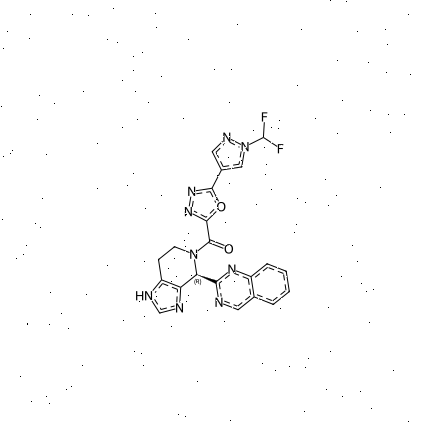 O=C(c1nnc(-c2cnn(C(F)F)c2)o1)N1CCc2[nH]cnc2[C@@H]1c1ncc2ccccc2n1